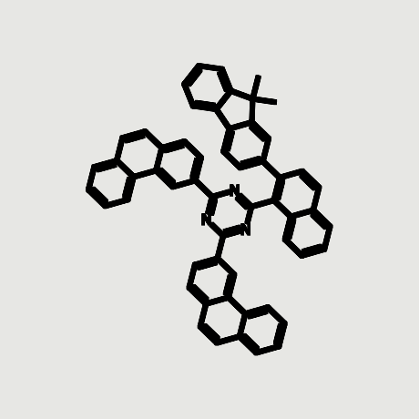 CC1(C)c2ccccc2-c2ccc(-c3ccc4ccccc4c3-c3nc(-c4ccc5ccc6ccccc6c5c4)nc(-c4ccc5ccc6ccccc6c5c4)n3)cc21